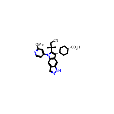 COc1cc(-n2c(C(C)(C)CC#N)c([C@H]3CC[C@@H](C(=O)O)CC3)c3cc4[nH]ncc4cc32)ccn1